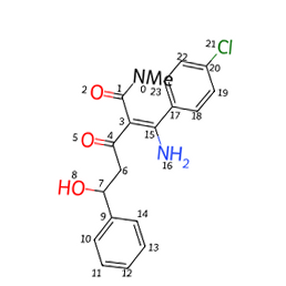 CNC(=O)C(C(=O)CC(O)c1ccccc1)=C(N)c1ccc(Cl)cc1